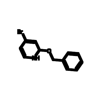 BrC1=CC(OCc2ccccc2)NC=C1